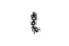 CO[SiH](OC)OC(C)c1ccc(-c2ccc(C(F)(F)F)cc2)cc1